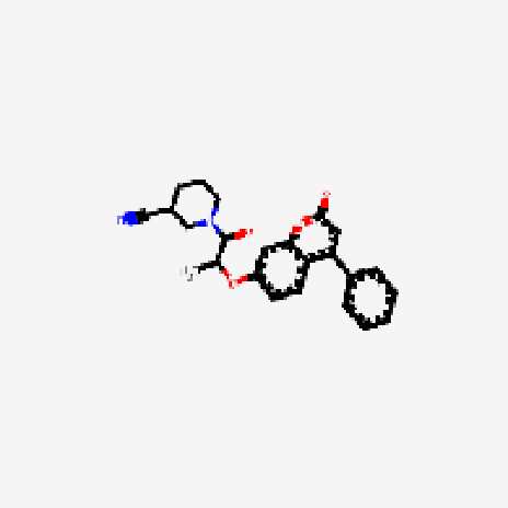 CC(Oc1ccc2c(-c3ccccc3)cc(=O)oc2c1)C(=O)N1CCCC(C#N)C1